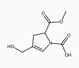 COC(=O)C1CC(CO)=CN1C(=O)O